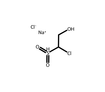 O=[SH](=O)C(Cl)CO.[Cl-].[Na+]